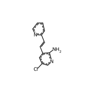 Nc1ncc(Cl)cc1C=Cc1ccccn1